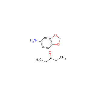 CCC(=O)CC.Nc1ccc2c(c1)OCO2